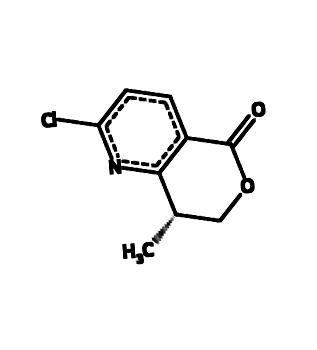 C[C@H]1COC(=O)c2ccc(Cl)nc21